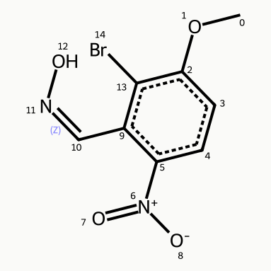 COc1ccc([N+](=O)[O-])c(/C=N\O)c1Br